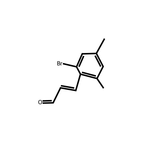 Cc1cc(C)c(/C=C/C=O)c(Br)c1